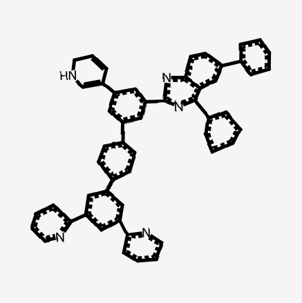 C1=CC(c2cc(-c3ccc(-c4cc(-c5ccccn5)cc(-c5ccccn5)c4)cc3)cc(-c3nc(-c4ccccc4)c4cc(-c5ccccc5)ccc4n3)c2)=CNC1